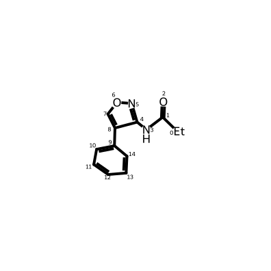 CCC(=O)Nc1nocc1-c1ccccc1